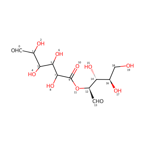 O=CC(O)C(O)C(O)C(O)C(=O)O[C@H](C=O)[C@H](O)[C@H](O)CO